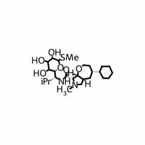 CSC1O[C@H]([C@H](NC(=O)[C@@H]2[C@@H]3OCC[C@H](C4CCCCC4)C[C@H]3CN2C)C(C)C)C(O)C(O)[C@H]1O